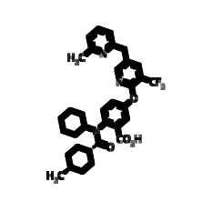 Cc1cccc(Cc2cnc(Oc3ccc(N(C(=O)[C@H]4CC[C@H](C)CC4)C4CCCCC4)c(C(=O)O)c3)c(C(F)(F)F)c2)n1